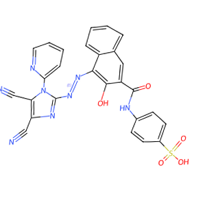 N#Cc1nc(/N=N/c2c(O)c(C(=O)Nc3ccc(S(=O)(=O)O)cc3)cc3ccccc23)n(-c2ccccn2)c1C#N